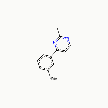 CNc1cccc(-c2ccnc(C)n2)c1